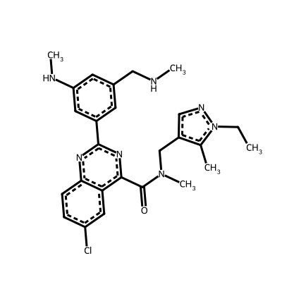 CCn1ncc(CN(C)C(=O)c2nc(-c3cc(CNC)cc(NC)c3)nc3ccc(Cl)cc23)c1C